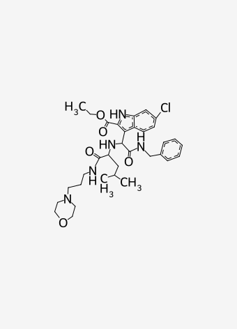 CCOC(=O)c1[nH]c2cc(Cl)ccc2c1C(NC(CC(C)C)C(=O)NCCCN1CCOCC1)C(=O)NCc1ccccc1